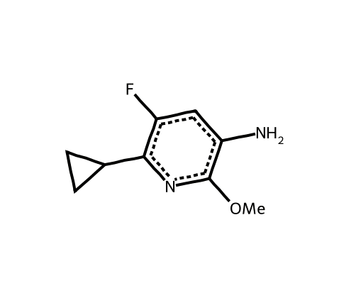 COc1nc(C2CC2)c(F)cc1N